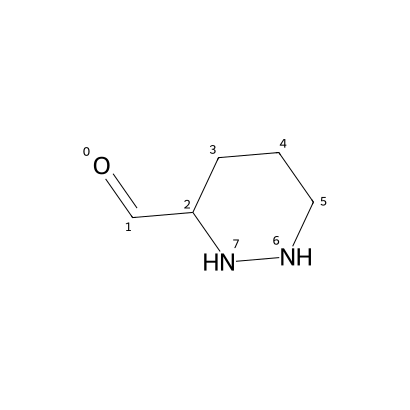 O=CC1CCCNN1